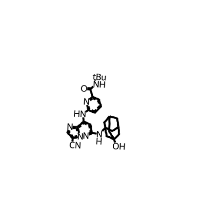 CC(C)(C)NC(=O)c1cccc(Nc2cc(NC34CC5CC(CC(O)(C5)C3)C4)nn3c(C#N)cnc23)n1